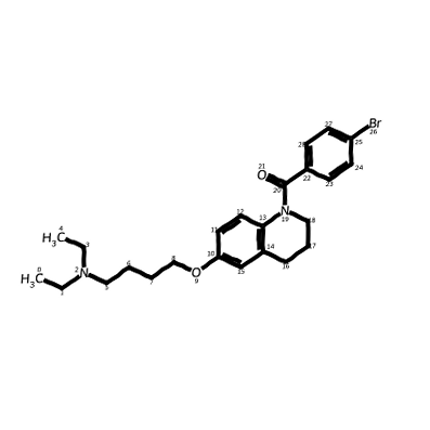 CCN(CC)CCCCOc1ccc2c(c1)CCCN2C(=O)c1ccc(Br)cc1